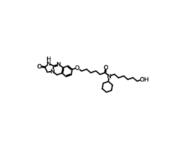 O=C1CN2Cc3ccc(OCCCCCC(=O)N(CCCCCCO)C4CCCCC4)cc3N=C2N1